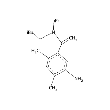 C=C(c1cc(N)c(C)cc1C)N(CCC)CC(C)CC